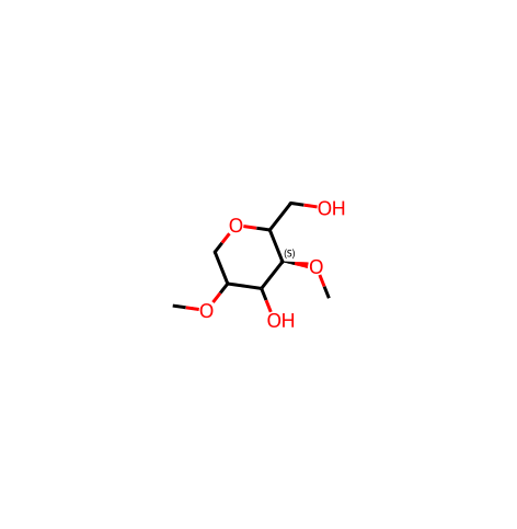 COC1COC(CO)[C@@H](OC)C1O